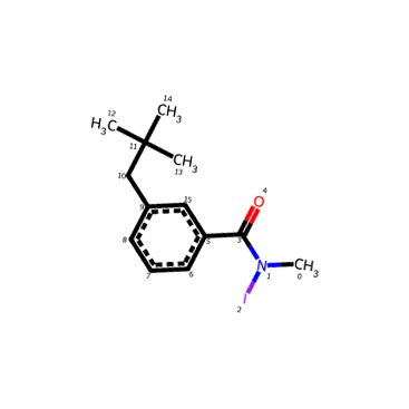 CN(I)C(=O)c1cccc(CC(C)(C)C)c1